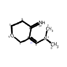 CN(C)/C=C1/COCCC1=N